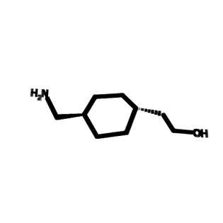 NC[C@H]1CC[C@H](CCO)CC1